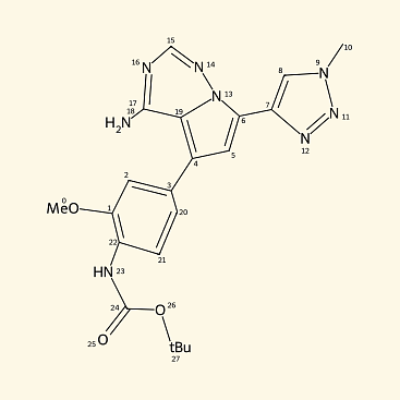 COc1cc(-c2cc(-c3cn(C)nn3)n3ncnc(N)c23)ccc1NC(=O)OC(C)(C)C